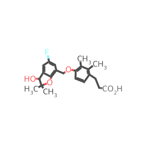 Cc1c(CCC(=O)O)ccc(OCc2cc(F)cc3c2OC(C)(C)C3O)c1C